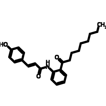 CCCCCCCCC(=O)c1ccccc1NC(=O)/C=C/c1ccc(O)cc1